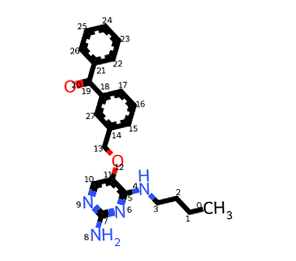 CCCCNc1nc(N)ncc1OCc1cccc(C(=O)c2ccccc2)c1